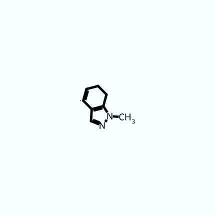 Cn1ncc2c1CCC=[C]2